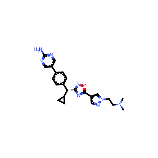 CN(C)CCn1cc(-c2nc([C@@H](c3ccc(-c4cnc(N)nc4)cc3)C3CC3)no2)cn1